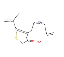 C=C/C=C\C1=C(C(=C)C)SCC1=O